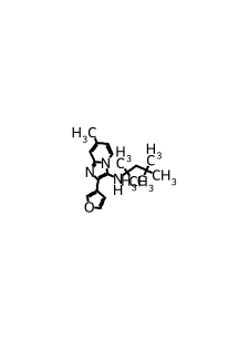 Cc1ccn2c(NC(C)(C)CC(C)(C)C)c(-c3ccoc3)nc2c1